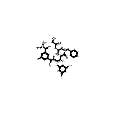 CCCN(CCC)C(=O)c1cc(C)cc(C(=O)N[C@@H](Cc2cc(F)cc(F)c2)[C@H](O)[C@@H]2N[C@@H](CC(O)CO)CN(Cc3ccccc3)C2=O)c1